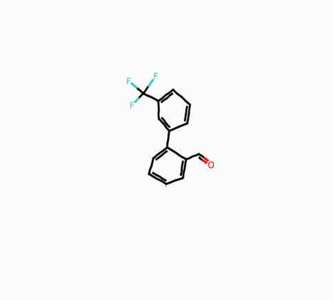 O=Cc1c[c]ccc1-c1cccc(C(F)(F)F)c1